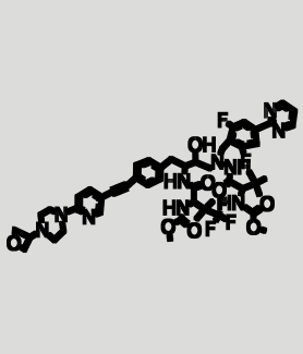 COC(=O)NC(C(=O)NN(Cc1c(F)cc(-c2ncccn2)cc1F)CC(O)C(Cc1ccc(C#Cc2ccc(N3CCN(C4COC4)CC3)nc2)cc1)NC(=O)C(NC(=O)OC)C(C)(C)C(F)(F)F)C(C)(C)C